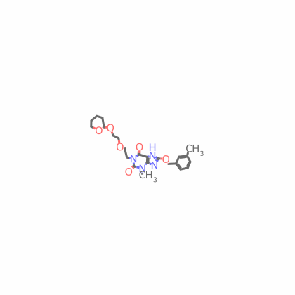 Cc1cccc(COc2nc3c([nH]2)c(=O)n(CCOCCOC2CCCCO2)c(=O)n3C)c1